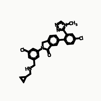 Cn1cnnc1-c1cc(Cl)ccc1-c1ccc2c(c1)C(=O)N(c1cc(Cl)cc(CNCC3CC3)c1)C2